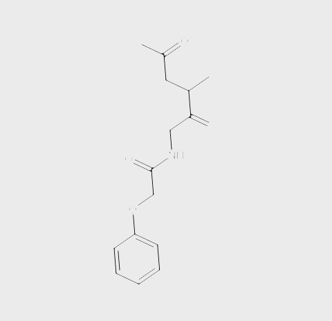 CC(=O)CC(C)C(=O)CNC(=O)COc1ccccc1